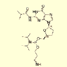 CC(C)C(=O)Nc1nc2c(ncn2[C@H]2CC[C@@H](COP(OCCC=N)N(C(C)C)C(C)C)O2)c(=O)[nH]1